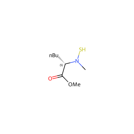 CCCC[C@@H](C(=O)OC)N(C)S